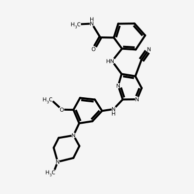 CNC(=O)c1ccccc1Nc1nc(Nc2ccc(OC)c(N3CCN(C)CC3)c2)ncc1C#N